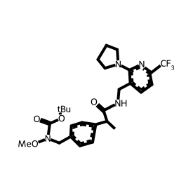 CON(Cc1ccc(C(C)C(=O)NCc2ccc(C(F)(F)F)nc2N2CCCC2)cc1)C(=O)OC(C)(C)C